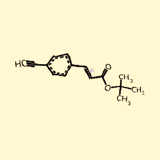 C#Cc1ccc(/C=C/C(=O)OC(C)(C)C)cc1